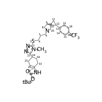 Cn1c(SCCCN2CC[C@]3(CC3c3ccc(C(F)(F)F)cc3)C2)nnc1C1CCC(NC(=O)OC(C)(C)C)CC1